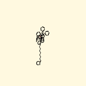 O=C(OCCCCCCCCCCl)C(F)(F)S(=O)(=O)OS(c1ccccc1)(c1ccccc1)c1ccccc1